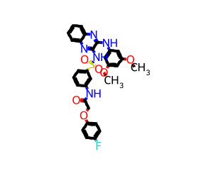 COc1cc(Nc2nc3ccccc3nc2NS(=O)(=O)c2cccc(NC(=O)COc3ccc(F)cc3)c2)cc(OC)c1